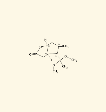 COC(C)(OC)[C@@H]1[C@H]2CC(=O)O[C@H]2C[C@H]1C